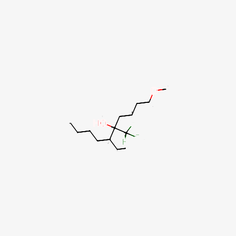 CCCCC(CC)C(O)(CCCCOC)C(F)(F)F